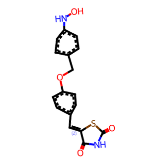 O=C1NC(=O)/C(=C/c2ccc(OCc3ccc(NO)cc3)cc2)S1